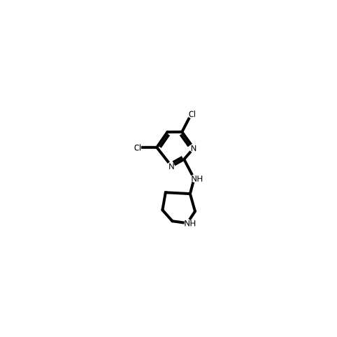 Clc1cc(Cl)nc(NC2CCCNC2)n1